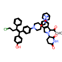 O=CC(=O)C1c2cc(N3C4CC3CN(CC3CCN(c5ccc(C(=C(CCCl)c6ccccc6)c6ccc(O)cc6)cc5)CC3)C4)ccc2CN1C1CCC(=O)NC1=O